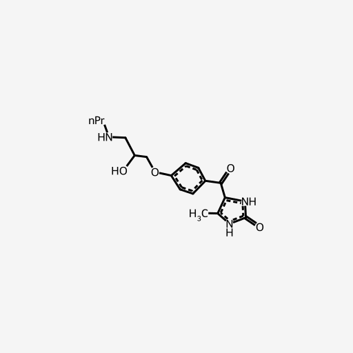 CCCNCC(O)COc1ccc(C(=O)c2[nH]c(=O)[nH]c2C)cc1